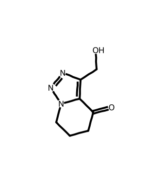 O=C1CCCn2nnc(CO)c21